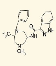 CC1CN(C)CC(NC(=O)c2n[nH]c3ccccc23)CN1Cc1ccccc1